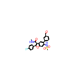 CNC(=O)c1c(-c2ccc(F)cc2)oc2cc(NS(C)(=O)=O)c(-c3cccc(C=O)c3)cc12